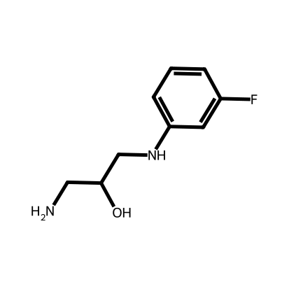 NCC(O)CNc1cccc(F)c1